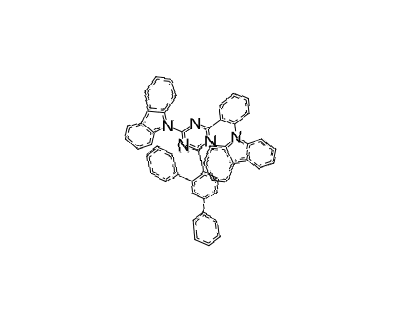 c1ccc(-c2ccc(-c3nc(-c4ccccc4-n4c5ccccc5c5ccccc54)nc(-n4c5ccccc5c5ccccc54)n3)c(-c3ccccc3)c2)cc1